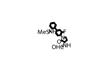 CSNc1ccccc1-c1ccc(N2CCC(NC=O)C2=O)c(F)c1